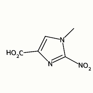 Cn1cc(C(=O)O)nc1[N+](=O)[O-]